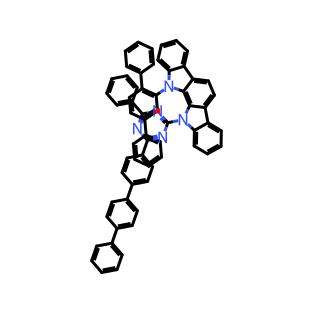 c1ccc(-c2ccc(-c3ccc(-c4nc(-c5ccccc5)nc(-n5c6ccccc6c6ccc7c8ccccc8n(-c8cc(-c9ccccc9)ccc8-c8ccccc8)c7c65)n4)cc3)cc2)cc1